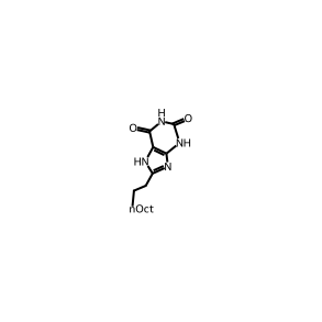 CCCCCCCCCCc1nc2[nH]c(=O)[nH]c(=O)c2[nH]1